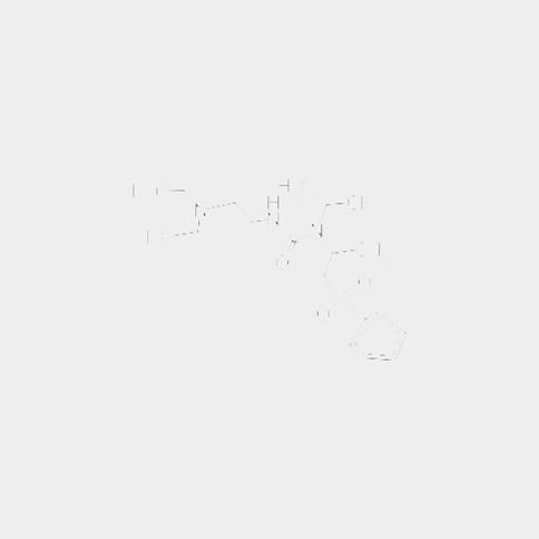 CCN(CC)CCNC(=O)N(C(C)C)C(C)CS(=O)(=O)c1ccccc1